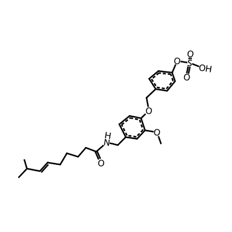 COc1cc(CNC(=O)CCCC/C=C/C(C)C)ccc1OCc1ccc(OS(=O)(=O)O)cc1